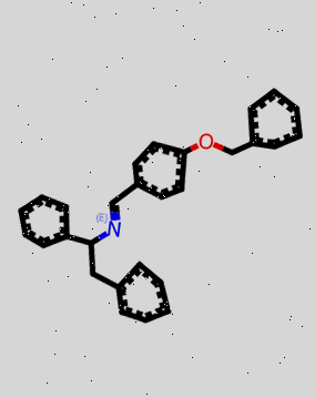 C(=N\C(Cc1ccccc1)c1ccccc1)/c1ccc(OCc2ccccc2)cc1